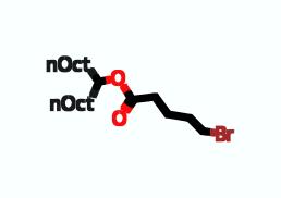 CCCCCCCCC(CCCCCCCC)OC(=O)CCCCBr